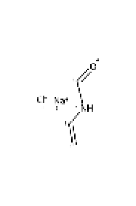 C=CNC=O.[Cl-].[Na+]